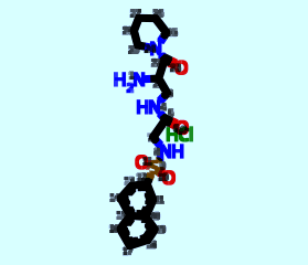 Cl.NC(CNC(=O)CNS(=O)(=O)c1ccc2ccccc2c1)C(=O)N1CCCCC1